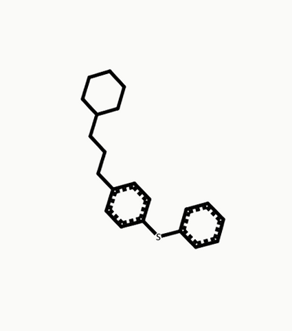 c1ccc(Sc2ccc(CCCC3CCCCC3)cc2)cc1